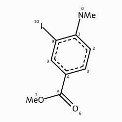 CNc1ccc(C(=O)OC)cc1I